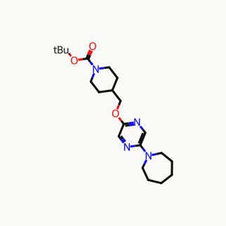 CC(C)(C)OC(=O)N1CCC(COc2cnc(N3CCCCCC3)cn2)CC1